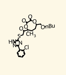 CCCCOCC1CC[C@@](C)(C(=O)CSc2nc(-c3ccccc3Cl)n[nH]2)OC(=O)C(=O)O1